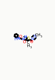 Cc1c(C(=O)N2CCN(C)CC2)sc2ncn(CC(=O)Nc3ccccc3)c(=O)c12